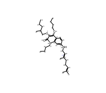 CCCCOc1c(OCC(C)CCC)c(=O)n(CCCC)c2cc(NC/C=C(\C)CCC=C(C)C)ccc12